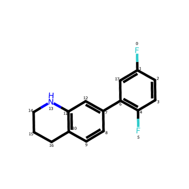 Fc1ccc(F)c(-c2ccc3c(c2)NCCC3)c1